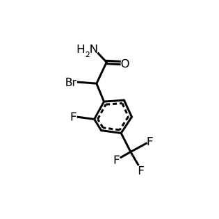 NC(=O)C(Br)c1ccc(C(F)(F)F)cc1F